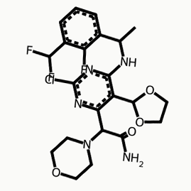 CC(Nc1nc(Cl)nc(C(C(N)=O)N2CCOCC2)c1C1OCCO1)c1cccc(C(F)F)c1F